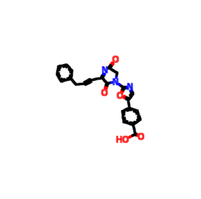 O=C1CN(c2ncc(-c3ccc(C(=O)O)cc3)o2)C(=O)C(C#CCc2ccccc2)=N1